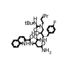 CC(C)CCN(CC(O)[C@H](Cc1ccc(F)cc1)NC(=O)C(CC(N)=O)NC(=O)c1ccc2ccccc2n1)C(=O)NC(C)(C)C